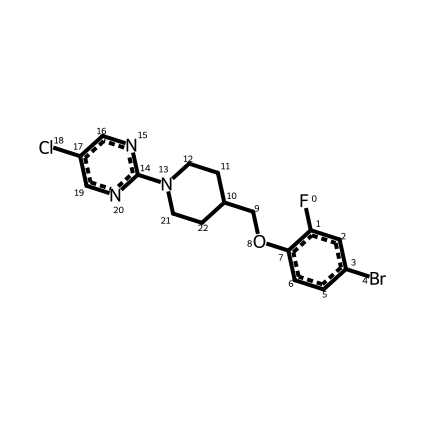 Fc1cc(Br)ccc1OCC1CCN(c2ncc(Cl)cn2)CC1